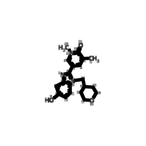 Cc1cc(-c2nc3cc(O)ccc3n2CC2CCOCC2)cn(C)c1=O